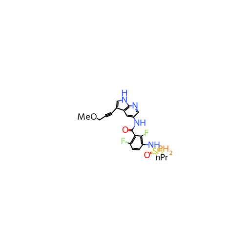 CCC[SH](=O)(P)Nc1ccc(F)c(C(=O)Nc2cnc3[nH]cc(C#CCOC)c3c2)c1F